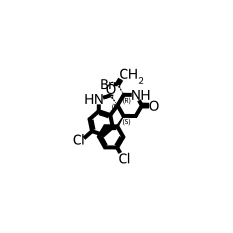 C=C(Br)[C@@H]1NC(=O)C[C@@H](c2cccc(Cl)c2)[C@]12C(=O)Nc1cc(Cl)ccc12